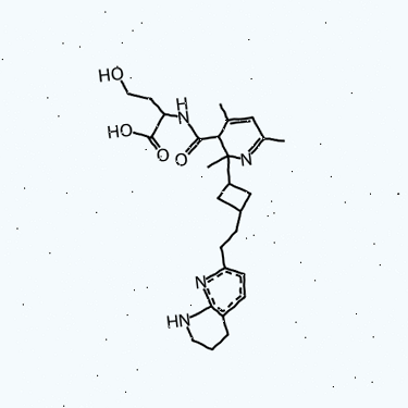 CC1=CC(C)=NC(C)(C2CC(CCc3ccc4c(n3)NCCC4)C2)C1C(=O)NC(CCO)C(=O)O